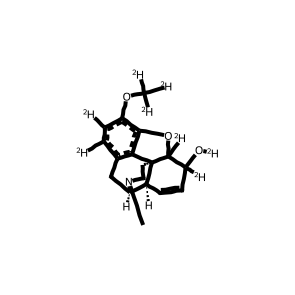 [2H]OC1([2H])C=C[C@H]2[C@H]3Cc4c([2H])c([2H])c(OC([2H])([2H])[2H])c5c4[C@@]2(CCN3C)C1([2H])O5